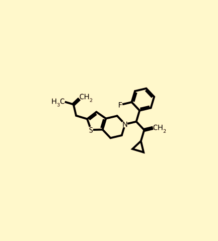 C=C(C)Cc1cc2c(s1)CCN(C(C(=C)C1CC1)c1ccccc1F)C2